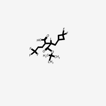 CC(C)(C)OC(=O)C(I)(CC1CC(F)(F)C1)C(CCC(F)(F)F)C(=O)O